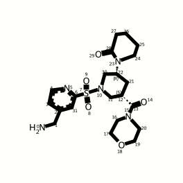 NCc1ccnc(S(=O)(=O)N2C[C@@H](C(=O)N3CCOCC3)C[C@@H](N3CCCCC3=O)C2)c1